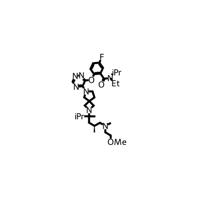 CCN(C(=O)c1cc(F)ccc1Oc1nncnc1N1CCC2(C1)CN(C(C)(C[C@H](C)CN(C)CCOC)C(C)C)C2)C(C)C